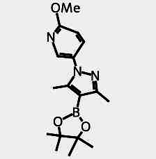 COc1ccc(-n2nc(C)c(B3OC(C)(C)C(C)(C)O3)c2C)cn1